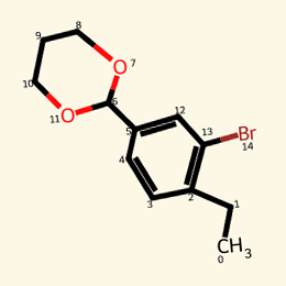 CCc1ccc(C2OCCCO2)cc1Br